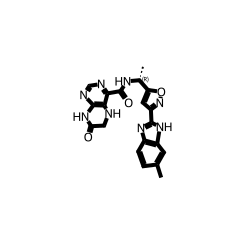 Cc1ccc2nc(-c3cc([C@@H](C)NC(=O)c4ncnc5c4NCC(=O)N5)on3)[nH]c2c1